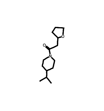 CC(C)C1CCN(C(=O)CC2CCCO2)CC1